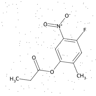 CCC(=O)Oc1cc([N+](=O)[O-])c(F)cc1C